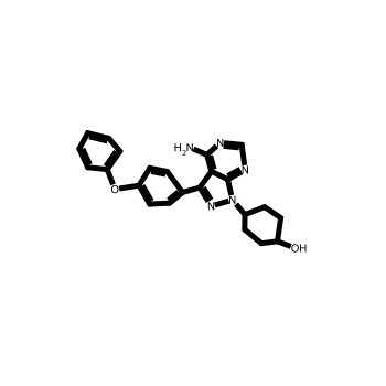 Nc1ncnc2c1c(-c1ccc(Oc3ccccc3)cc1)nn2C1CC[C](O)CC1